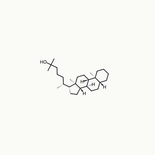 C[C@H](CCCC(C)(C)O)[C@H]1CC[C@H]2[C@@H]3CC[C@H]4CCCC[C@]4(C)[C@H]3CC[C@]12C